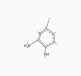 Bc1nc(I)ccc1O